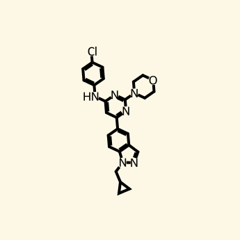 Clc1ccc(Nc2cc(-c3ccc4c(cnn4CC4CC4)c3)nc(N3CCOCC3)n2)cc1